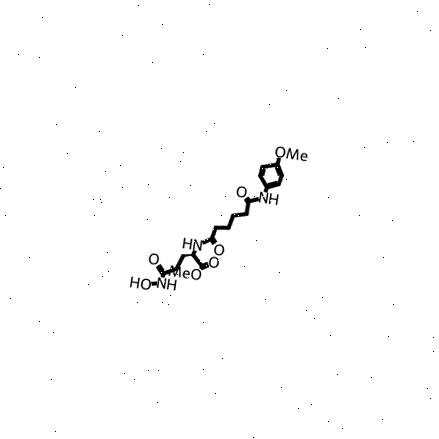 COC(=O)[C@@H](CCC(=O)NO)NC(=O)CCCCC(=O)Nc1ccc(OC)cc1